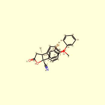 COc1ccc([C@]2(C#N)OC(=O)C[C@@]2(C)c2ccc(Oc3ccccc3)cc2)cc1Br